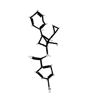 CC1(C2CC2)C2(OC(=O)c3ccc(Br)cc3)CC1(c1ccccc1)C2